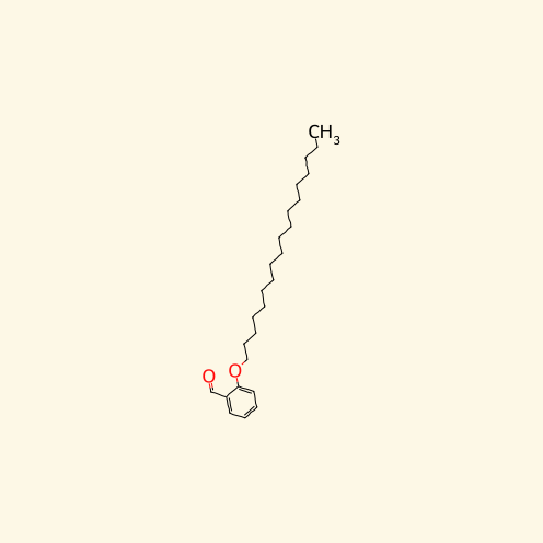 CCCCCCCCCCCCCCCCCCOc1ccccc1C=O